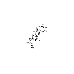 COCC(C)OC(=O)CC(N)CS(=O)(=O)c1ccccc1